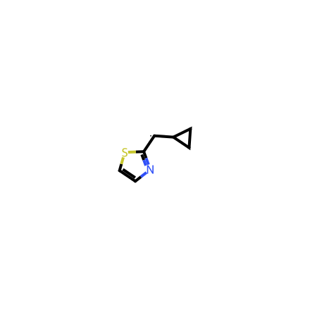 [CH](c1nccs1)C1CC1